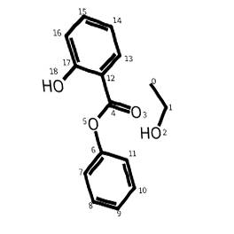 CCO.O=C(Oc1ccccc1)c1ccccc1O